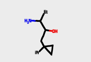 CCC(N)C(O)CC1(C(C)C)CC1